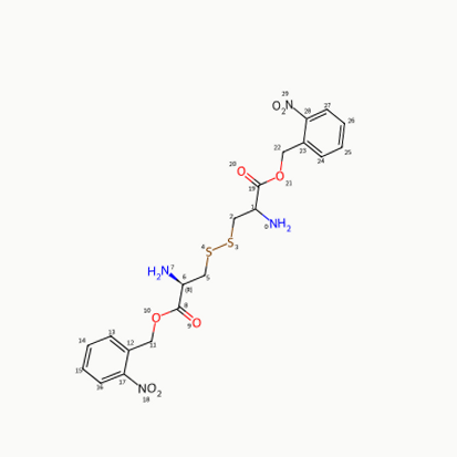 NC(CSSC[C@H](N)C(=O)OCc1ccccc1[N+](=O)[O-])C(=O)OCc1ccccc1[N+](=O)[O-]